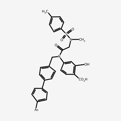 CC(=O)c1ccc(-c2ccc(CN(C(=O)CN(C)S(=O)(=O)c3ccc(C)cc3)c3ccc(C(=O)O)c(O)c3)cc2)cc1